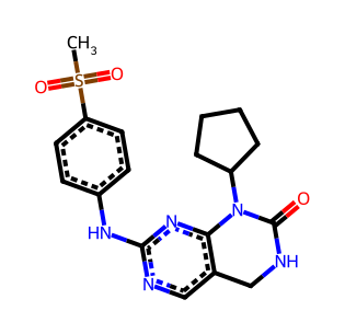 CS(=O)(=O)c1ccc(Nc2ncc3c(n2)N(C2CCCC2)C(=O)NC3)cc1